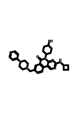 O=c1c2cc(CN3CCN(c4ccncc4)CC3)ccc2c2cnc(NC3CCC3)nc2n1C1CCC(O)CC1